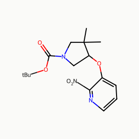 CC(C)(C)OC(=O)N1CC(Oc2cccnc2[N+](=O)[O-])C(C)(C)C1